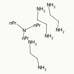 CCCN(CCC)CCC.NCCN.NCCN.NCCN